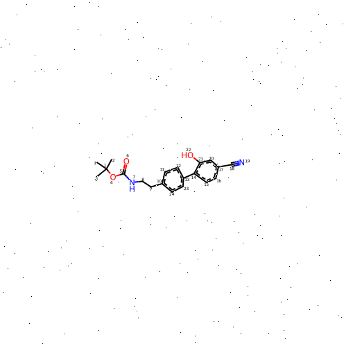 CC(C)(C)OC(=O)NCCc1ccc(-c2ccc(C#N)cc2O)cc1